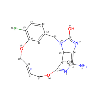 CC1C2=NC(N)=C3N=C(O)N(Cc4ccc(F)c(c4)OC/C=C/CO2)C31